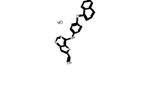 C#Cc1cc2ncnc(Nc3ccc(Oc4cccc5ccccc45)cc3)c2s1.Cl